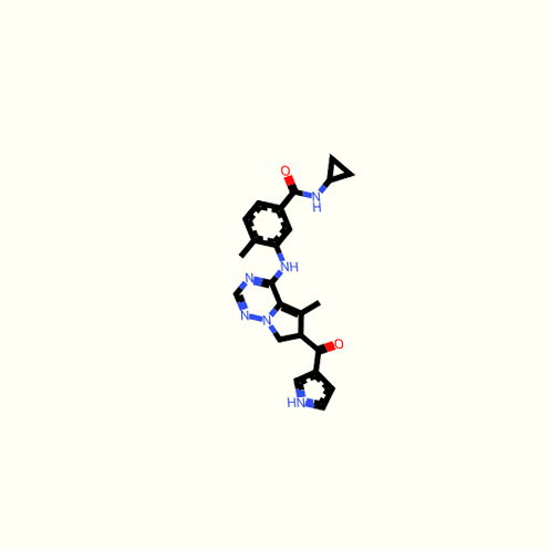 CC1=C2C(Nc3cc(C(=O)NC4CC4)ccc3C)=NC=NN2CC1C(=O)c1cc[nH]c1